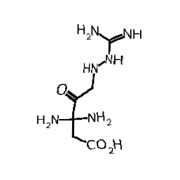 N=C(N)NNCC(=O)C(N)(N)CC(=O)O